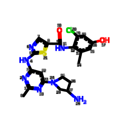 Cc1nc(Nc2ncc(C(=O)Nc3c(C)cc(O)cc3Cl)s2)cc(N2CCC(N)C2)n1